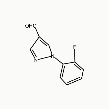 O=Cc1cnn(-c2ccccc2F)c1